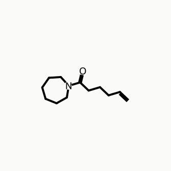 C=CCCCC(=O)N1CCCCCC1